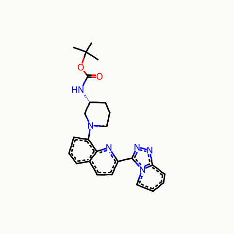 CC(C)(C)OC(=O)N[C@@H]1CCCN(c2cccc3ccc(-c4nnc5ccccn45)nc23)C1